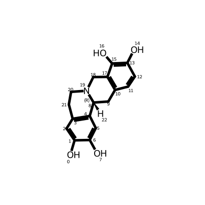 Oc1cc2c(cc1O)[C@H]1Cc3ccc(O)c(O)c3CN1CC2